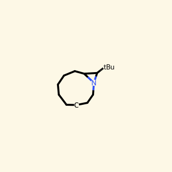 CC(C)(C)C1C2CCCCCCCCN21